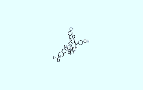 COc1ccc(Cn2c(=O)cc(NC3CCC(O)CC3)c3sc(-c4nc5cc6c(cc5n4S(=O)(=O)C(F)(F)F)CCN(C(=O)C4CC4)CC6)cc32)cc1